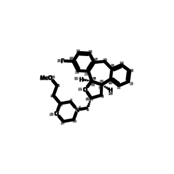 COCCC1CN(C[C@H]2C[C@@H]3c4ccccc4Cc4ccc(F)cc4[C@@H]3O2)CCO1